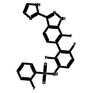 O=S(=O)(Nc1ccc(F)c(-c2ccc3c(-c4ncc[nH]4)n[nH]c3c2F)c1F)c1ccccc1F